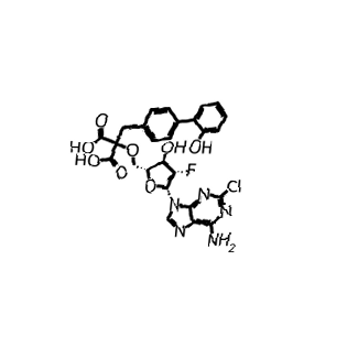 Nc1nc(Cl)nc2c1ncn2[C@@H]1O[C@H](COC(Cc2ccc(-c3ccccc3O)cc2)(C(=O)O)C(=O)O)[C@@H](O)[C@@H]1F